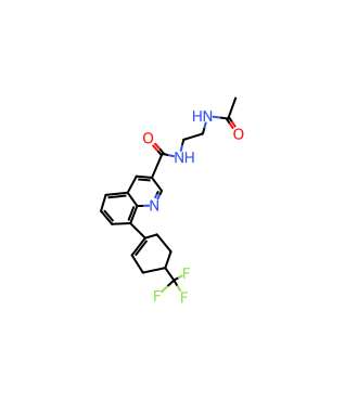 CC(=O)NCCNC(=O)c1cnc2c(C3=CCC(C(F)(F)F)CC3)cccc2c1